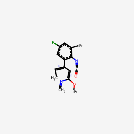 C=N/C(=C\C(=C/C)c1cc(F)cc(C(C)C)c1N=C=O)OC(C)C